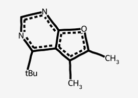 Cc1oc2ncnc(C(C)(C)C)c2c1C